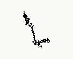 CCc1cc2c(cc1N1CCN(C(=O)CCOCCOCCOCCC(=O)NC(C(=O)N3C[C@H](O)C[C@H]3C(=O)NCc3ccc(-c4scnc4C)cc3)C(C)(C)C)CC1)C(C)(C)c1[nH]c3cc(C#N)ccc3c1C2=O